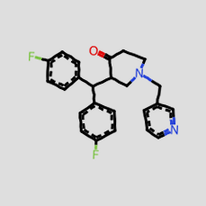 O=C1CCN(Cc2cccnc2)CC1C(c1ccc(F)cc1)c1ccc(F)cc1